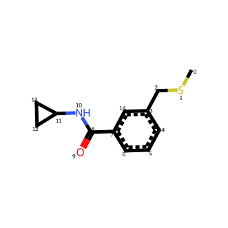 CSCc1cccc(C(=O)NC2CC2)c1